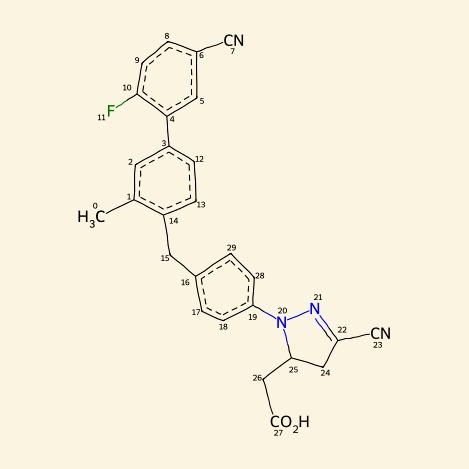 Cc1cc(-c2cc(C#N)ccc2F)ccc1Cc1ccc(N2N=C(C#N)CC2CC(=O)O)cc1